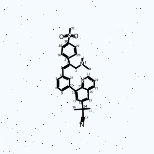 CN(C)CC(=Cc1cccc(-c2cc(C(C)(C)C#N)cc3cccnc23)c1)c1ccc(S(C)(=O)=O)cc1